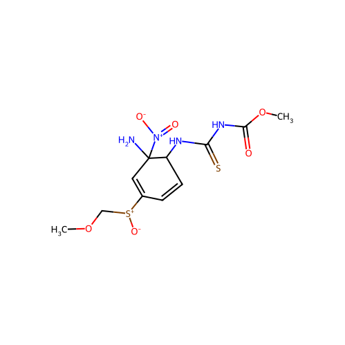 COC[S+]([O-])C1=CC(N)([N+](=O)[O-])C(NC(=S)NC(=O)OC)C=C1